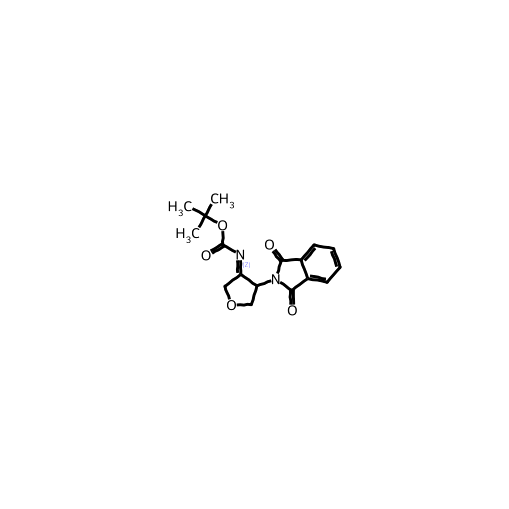 CC(C)(C)OC(=O)/N=C1\COCC1N1C(=O)c2ccccc2C1=O